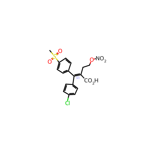 CS(=O)(=O)c1ccc(/C(=C(\CCO[N+](=O)[O-])C(=O)O)c2ccc(Cl)cc2)cc1